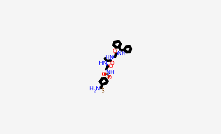 CC(NC(=O)CNS(=O)(=O)c1ccc(C(N)=S)cc1)C(=O)NCC(=O)NC(c1ccccc1)c1ccccc1